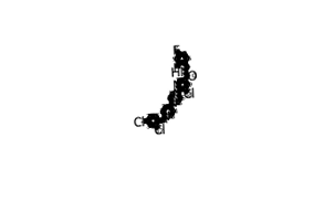 O=C(NCc1ccc(F)cc1F)c1cnc(N2CCN(C3CCN(Cc4ccc(Cl)cc4Cl)CC3)CC2)c(Cl)c1